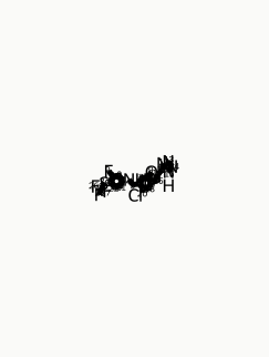 Fc1cc(NCc2cc3oc(-c4nnn[nH]4)cc3cc2Cl)ccc1SC(F)(F)F